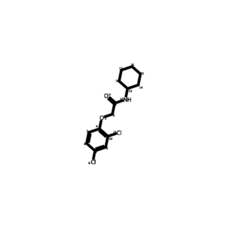 O=C(COc1ccc(Cl)cc1Cl)NC1CCCCC1